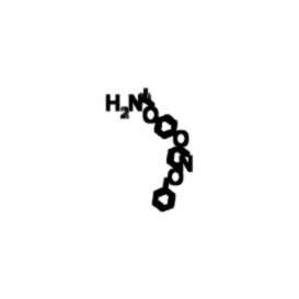 C[C@H](N)COc1ccc(Oc2ccc(OCc3ccccc3)nc2)cc1